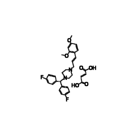 COc1ccc(C=CCN2CCN(C(c3ccc(F)cc3)c3ccc(F)cc3)CC2)c(OC)c1.O=C(O)/C=C/C(=O)O